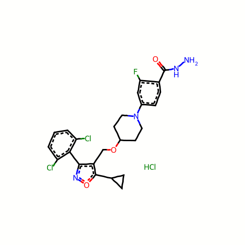 Cl.NNC(=O)c1ccc(N2CCC(OCc3c(-c4c(Cl)cccc4Cl)noc3C3CC3)CC2)cc1F